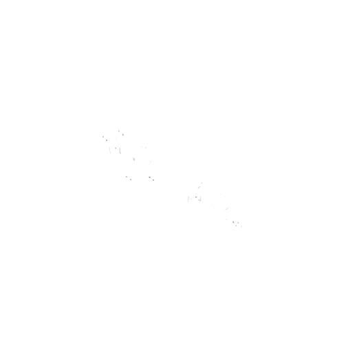 COc1cc(NC(=O)C2CCC(Nc3cccc(Nc4ncccn4)c3[N+](=O)[O-])CC2)ccc1C